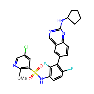 COc1ncc(Cl)cc1S(=O)(=O)Nc1ccc(F)c(-c2ccc3nc(NC4CCCC4)ncc3c2)c1F